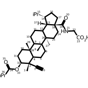 C#C[C@@]1(C)C2CC[C@]3(C)C(CCC4[C@@H]5[C@H](C(C)C)CC[C@]5(C(=O)NCC(=O)O)CC[C@]43C)[C@@]2(C)CC[C@@H]1OC(=O)CCC